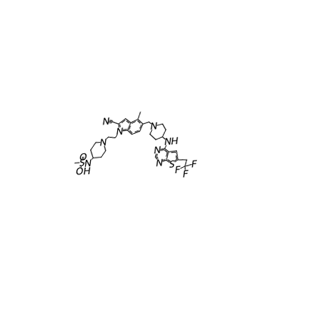 Cc1c(CN2CCC(Nc3ncnc4sc(CC(F)(F)F)cc34)CC2)ccc2c1cc(C#N)n2CCN1CCC(NS(C)(=O)=O)CC1